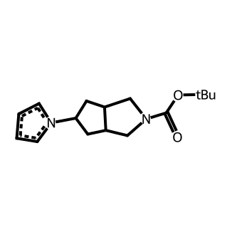 CC(C)(C)OC(=O)N1CC2CC(n3cccc3)CC2C1